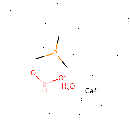 CP(C)C.O.[Ca+2].[O-]B[O-]